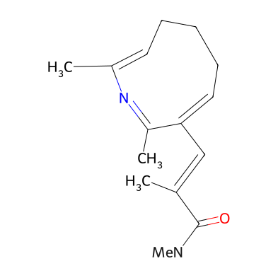 CNC(=O)/C(C)=C/C1=C/CCC/C=C(C)/N=C\1C